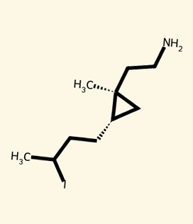 CC(I)CC[C@H]1C[C@]1(C)CCN